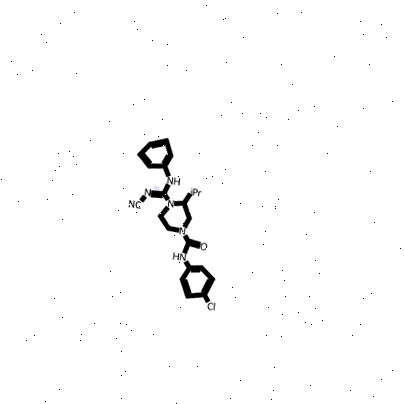 CC(C)C1CN(C(=O)Nc2ccc(Cl)cc2)CCN1/C(=N\C#N)Nc1ccccc1